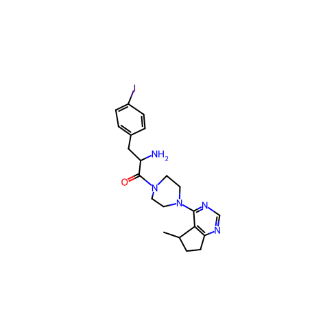 CC1CCc2ncnc(N3CCN(C(=O)C(N)Cc4ccc(I)cc4)CC3)c21